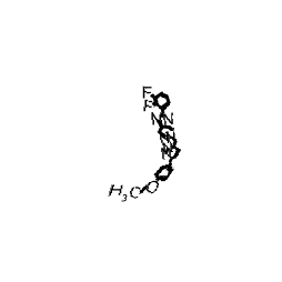 CCCOc1ccc(-c2ccc(Cn3cc4nc(-c5cccc(F)c5F)nc-4cn3)nn2)cc1